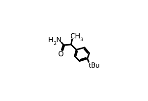 CC(C(N)=O)c1ccc(C(C)(C)C)cc1